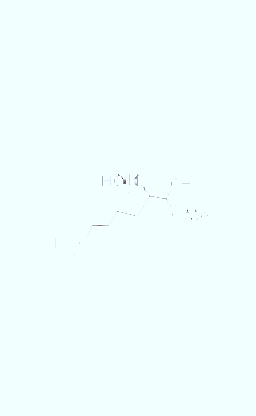 COC(C)C(CCCCC(=O)O)C(=O)O.N